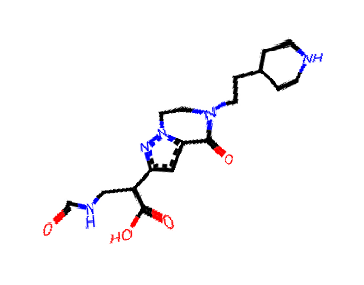 O=CNCC(C(=O)O)c1cc2n(n1)CCN(CCC1CCNCC1)C2=O